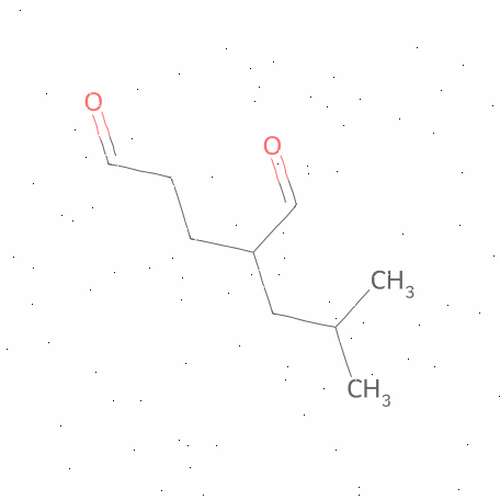 CC(C)CC(C=O)CCC=O